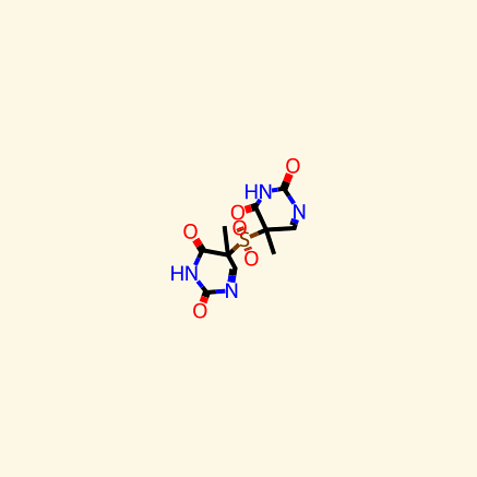 CC1(S(=O)(=O)C2(C)C=NC(=O)NC2=O)C=NC(=O)NC1=O